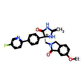 C=C1NC(=O)[C@](CN2Cc3ccc(OCC)cc3C2=O)(c2ccc(-c3ccc(F)cn3)cc2)N1